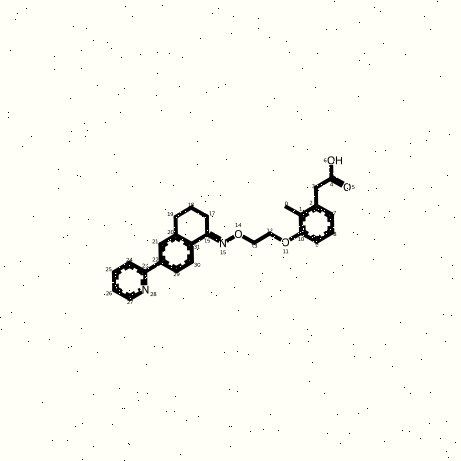 Cc1c(CC(=O)O)cccc1OCCON=C1CCCc2cc(-c3ccccn3)ccc21